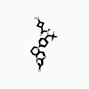 CN(C(=O)C1CC(O)C1)[C@@H](c1ccc(N2CCCc3c2cnc2cc(Cl)nn32)cc1)C(F)(F)F